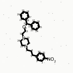 O=[N+]([O-])c1ccc(CCCN2CCN(CCOC(c3ccccc3)c3ccccc3)CC2)cc1